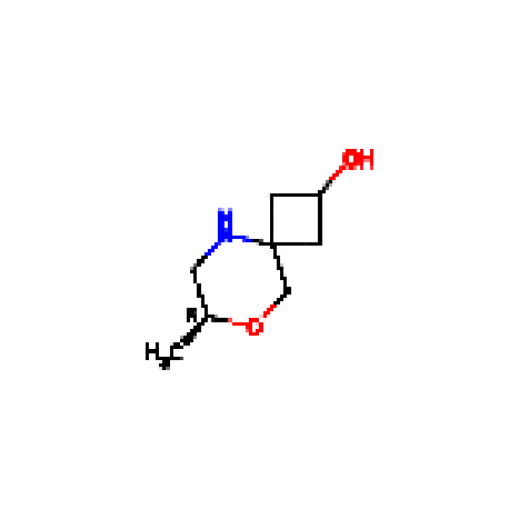 C[C@H]1CNC2(CO1)CC(O)C2